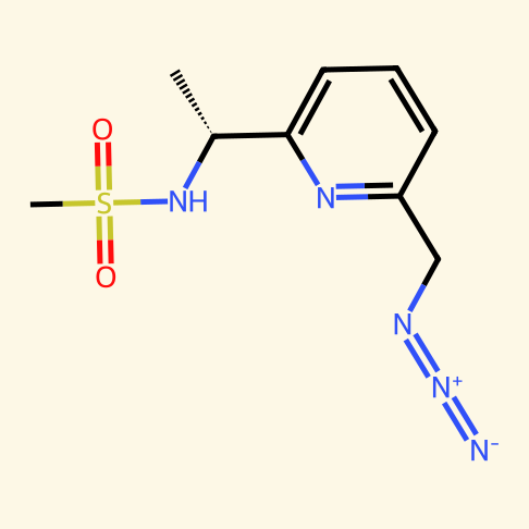 C[C@@H](NS(C)(=O)=O)c1cccc(CN=[N+]=[N-])n1